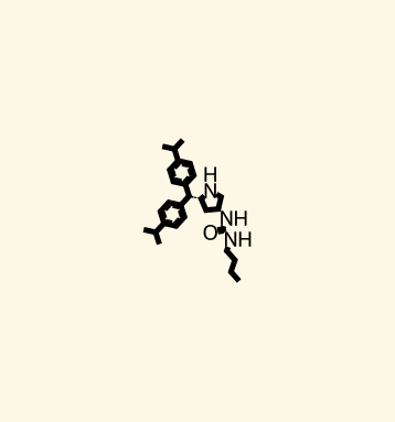 CCCCNC(=O)N[C@H]1CN[C@@H](C(c2ccc(C(C)C)cc2)c2ccc(C(C)C)cc2)C1